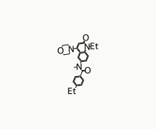 CCc1ccc(C(=O)N(C)c2ccc3c(c2)c(N2CCOCC2)cc(=O)n3CC)cc1